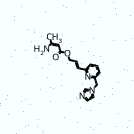 C/C(N)=C/C(=O)OC/C=C/c1cccc(Cn2ccnc2)n1